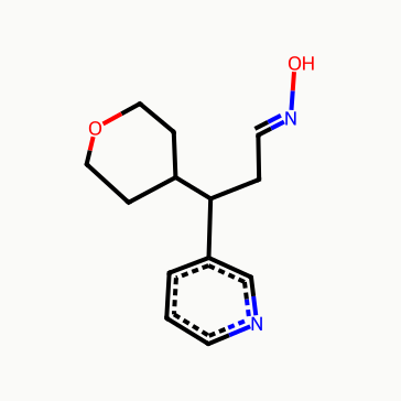 ON=CCC(c1cccnc1)C1CCOCC1